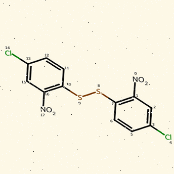 O=[N+]([O-])c1cc(Cl)ccc1SSc1ccc(Cl)cc1[N+](=O)[O-]